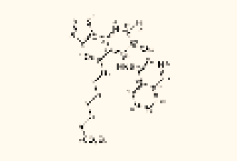 CCOC(=O)CCCCCOC(=O)c1c(-c2cccs2)nn(CC)c(=O)c1Nc1cncc2ccccc12